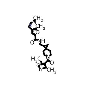 C=N/C=C\c1cc(C(=O)NCC2CC23CCN(C(=O)c2c(C)noc2C)CC3)oc1C